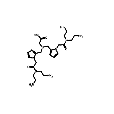 CC(C)(C)C(=O)CN(Cc1nccn1CC(=O)N(CCN)CCN)Cc1nccn1CC(=O)N(CCN)CCN